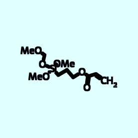 C=CC(=O)OCCC[Si](OC)(OC)OCOC